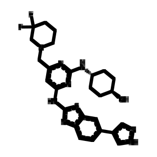 O[C@H]1CC[C@H](Nc2nc(CN3CCCC(F)(F)C3)cc(Nc3nc4ccc(-c5cn[nH]c5)cc4s3)n2)CC1